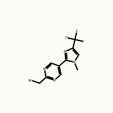 Cn1cc(C(F)(F)F)nc1-c1cnc(CBr)nc1